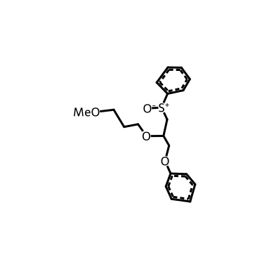 COCCCOC(COc1ccccc1)C[S+]([O-])c1ccccc1